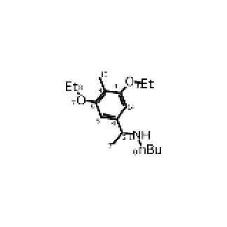 CCCCNC(C)c1cc(OCC)c(C)c(OCC)c1